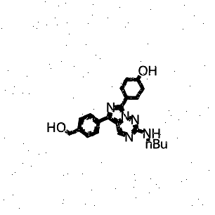 CCCCNc1ncc2c(-c3ccc(CO)cc3)nc(C3CCC(O)CC3)n2n1